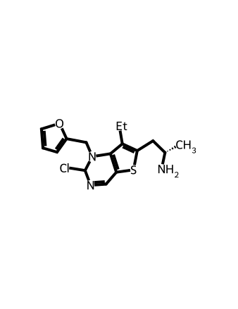 CCc1c(C[C@H](C)N)sc2c1N(Cc1ccco1)C(Cl)N=C2